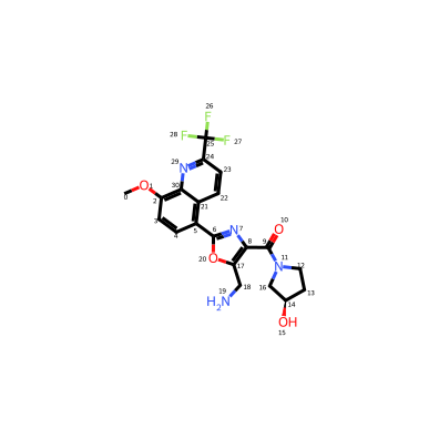 COc1ccc(-c2nc(C(=O)N3CC[C@@H](O)C3)c(CN)o2)c2ccc(C(F)(F)F)nc12